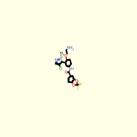 Cn1ncc(Cl)c1-c1cc(NC(=O)c2ccc3c(c2)OC(F)(F)O3)ccc1OCCN